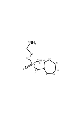 NCCOP(=O)(O)OC1CCCCCC1